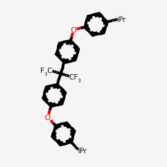 CC(C)c1ccc(Oc2ccc(C(c3ccc(Oc4ccc(C(C)C)cc4)cc3)(C(F)(F)F)C(F)(F)F)cc2)cc1